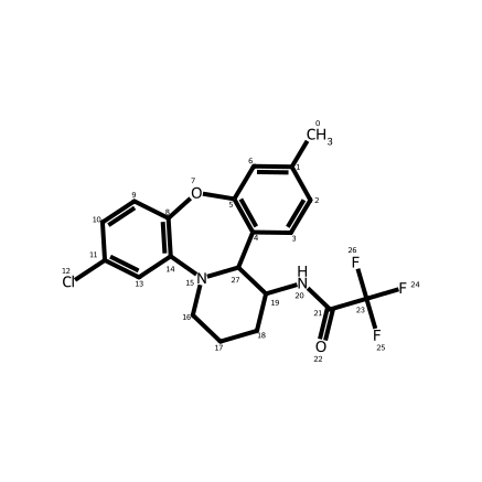 Cc1ccc2c(c1)Oc1ccc(Cl)cc1N1CCCC(NC(=O)C(F)(F)F)C21